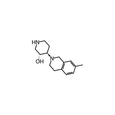 Cc1ccc2c(c1)CN([C@@H]1CCNC[C@H]1O)CC2